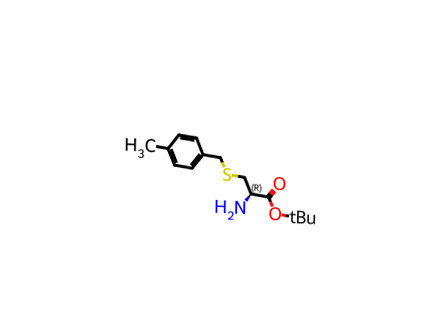 Cc1ccc(CSC[C@H](N)C(=O)OC(C)(C)C)cc1